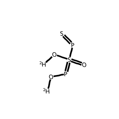 [2H]OP=S(=O)(O[2H])P=S